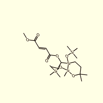 CCC(OC(=O)C=CC(=O)OC)[Si]1(O[Si](C)(C)C)CCC(C)(C)O[Si]1(C)O[Si](C)(C)C